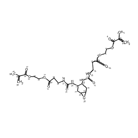 C=C(C)C(=O)OCCOC(=O)CCNC(=O)NC1CC2OC2CC1NC(=O)NCCC(=O)OCCOC(=O)C(=C)C